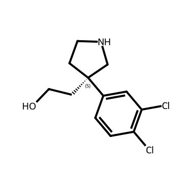 OCC[C@]1(c2ccc(Cl)c(Cl)c2)CCNC1